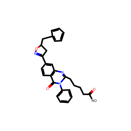 O=NC(=O)CCCCc1nc2cc(C3=NOC(Cc4ccccc4)C3)ccc2c(=O)n1-c1ccccc1